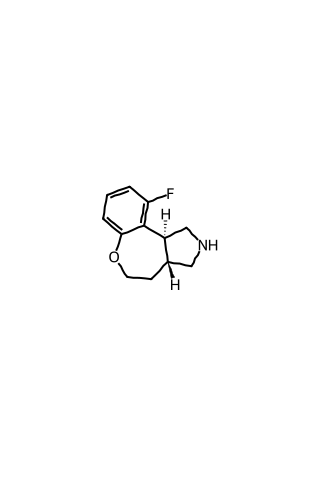 Fc1cccc2c1[C@H]1CNC[C@@H]1CCO2